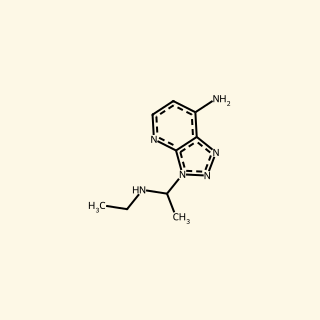 CCNC(C)n1nnc2c(N)ccnc21